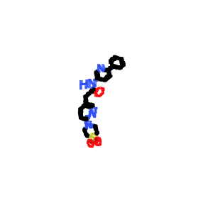 O=C(Cc1ccc(N2CCS(=O)(=O)CC2)nc1)Nc1ccc(-c2ccccc2)nc1